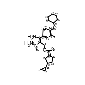 Cc1nc(/C(N)=C(\COC(=O)N2CCC(C3CC3)C2)N(C)N)ccc1OC1CCCCC1